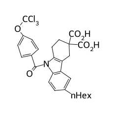 CCCCCCc1ccc2c(c1)c1c(n2C(=O)c2ccc(OC(Cl)(Cl)Cl)cc2)CCC(C(=O)O)(C(=O)O)C1